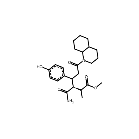 COC(=O)C(C)[C@@H](C(N)=O)C(CC(=O)N1CCCC2CCCCC21)c1ccc(O)cc1